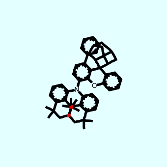 CC1(C)CCC(C)(C)c2c(N(c3ccc(-c4ccccc4)c4c3Oc3ccccc3C43C4CC5CC6CC3C64C5)c3cccc4c3C(C)(C)CCC4(C)C)cccc21